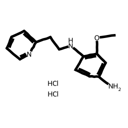 COc1cc(N)ccc1NCCc1ccccn1.Cl.Cl